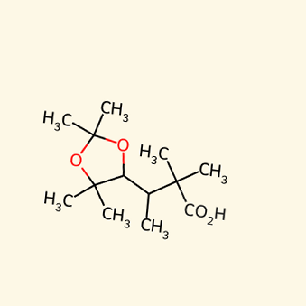 CC(C1OC(C)(C)OC1(C)C)C(C)(C)C(=O)O